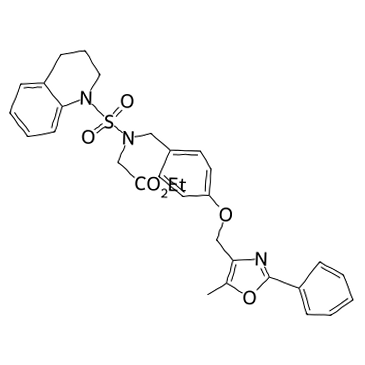 CCOC(=O)CN(Cc1ccc(OCc2nc(-c3ccccc3)oc2C)cc1)S(=O)(=O)N1CCCc2ccccc21